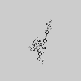 COC(=O)N[C@H](C(=O)NN(Cc1c(F)cc(-c2ccn(CC(F)F)n2)cc1F)C[C@H](O)[C@H](Cc1ccc(C#Cc2ccc(N3C[C@H]4C[C@@H]3CN4C3COC3)nc2)cc1)NC(=O)[C@@H](NC(=O)OC)C(C)(C)C(F)(F)F)C(C)(C)C